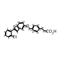 CCc1ccccc1-c1cc2cc(OCc3ccc(CCC(=O)O)cc3)ccc2s1